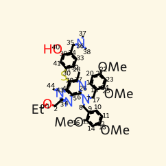 CCOCc1nc2c(N(Cc3ccc(OC)cc3OC)Cc3ccc(OC)cc3OC)nc(C)c(Sc3ccc(CN(C)C)c(O)c3)c2n1C